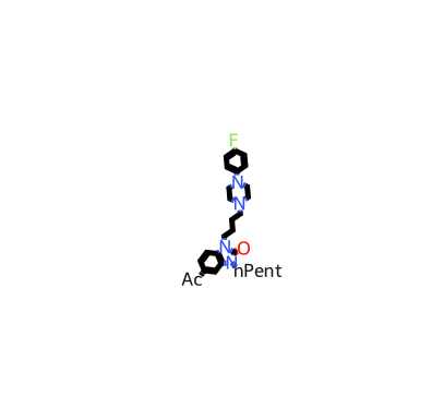 CCCCCn1c(=O)n(CCCCN2CCN(c3ccc(F)cc3)CC2)c2ccc(C(C)=O)cc21